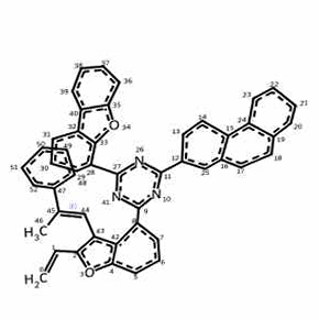 C=Cc1oc2cccc(-c3nc(-c4ccc5c(ccc6ccccc65)c4)nc(-c4cccc5c4oc4ccccc45)n3)c2c1/C=C(\C)c1ccccc1